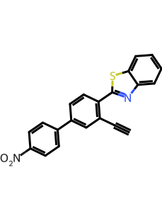 C#Cc1cc(-c2ccc([N+](=O)[O-])cc2)ccc1-c1nc2ccccc2s1